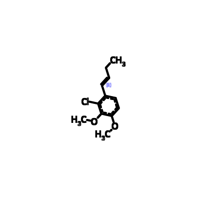 CC/C=C/c1ccc(OC)c(OC)c1Cl